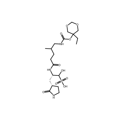 CCC1(OC(=O)NCC(C)CCC(=O)N[C@@H](C[C@@H]2CCNC2=O)C(O)S(=O)(=O)O)COCOC1